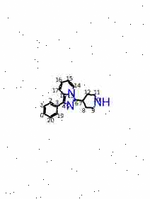 c1ccc(-c2nc(C3CCNCC3)n3ccccc23)cc1